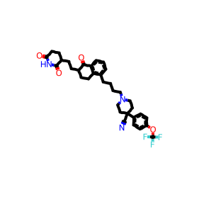 N#CC1(c2ccc(OC(F)(F)F)cc2)CCN(CCCCc2cccc3c2CCC(CCC2CCC(=O)NC2=O)C3=O)CC1